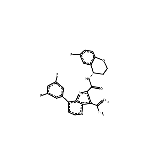 C=C(C)c1c(C(=O)N[C@H]2CCOc3ccc(F)cc32)sc2c(-c3cc(F)cc(F)c3)ccnc12